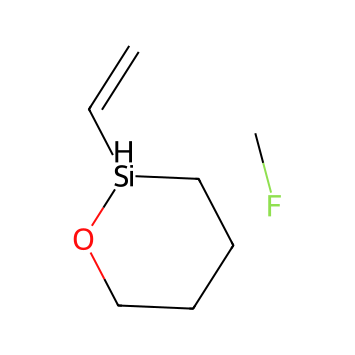 C=C[SiH]1CCCCO1.CF